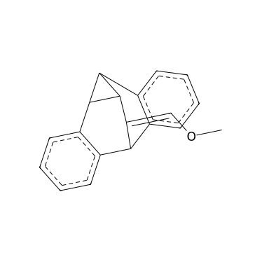 COC=C1C2c3ccccc3C3C1C3c1ccccc12